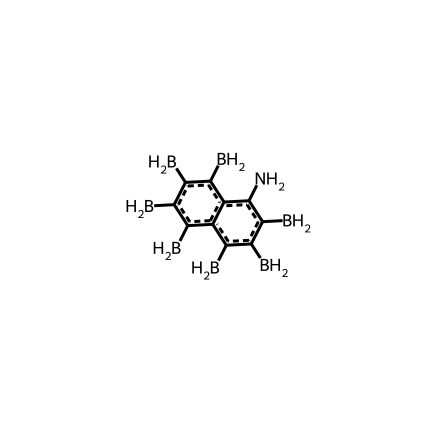 Bc1c(B)c(B)c2c(N)c(B)c(B)c(B)c2c1B